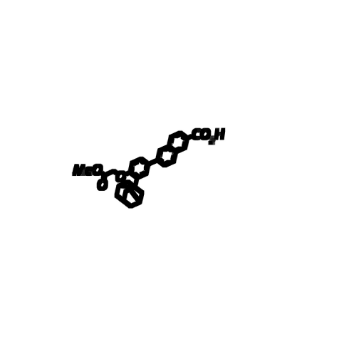 COC(=O)COc1ccc(-c2ccc3cc(C(=O)O)ccc3c2)cc1C12CC3CC(CC(C3)C1)C2